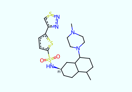 CC1CCC(N2CCN(C)CC2)C2C[C@H](NS(=O)(=O)c3ccc(-c4csnn4)s3)CCC12